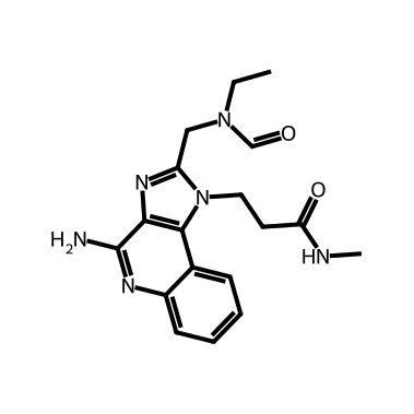 CCN(C=O)Cc1nc2c(N)nc3ccccc3c2n1CCC(=O)NC